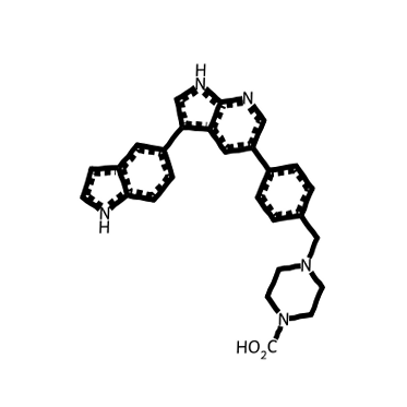 O=C(O)N1CCN(Cc2ccc(-c3cnc4[nH]cc(-c5ccc6[nH]ccc6c5)c4c3)cc2)CC1